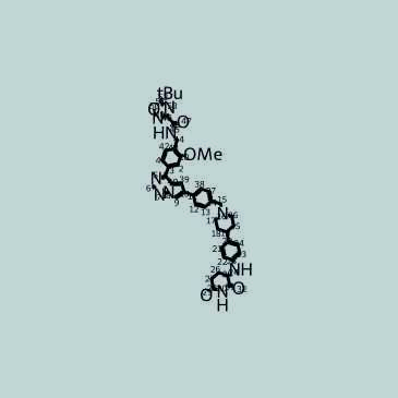 COc1cc(-c2ncnn3cc(-c4ccc(CN5CCC(c6ccc(NC7CCC(=O)NC7=O)cc6)CC5)cc4)cc23)ccc1CNC(=O)c1noc(C(C)(C)C)n1